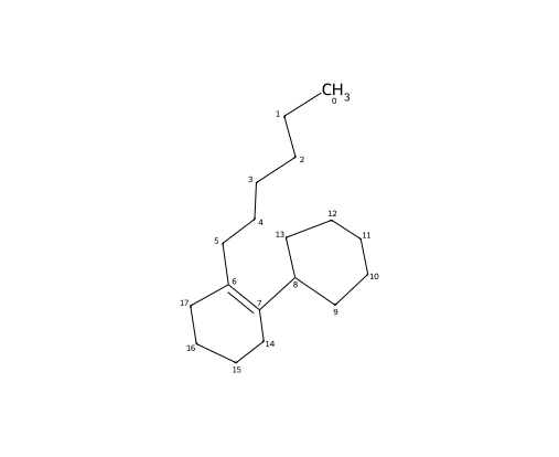 CCCCCCC1=C(C2CCCCC2)CCCC1